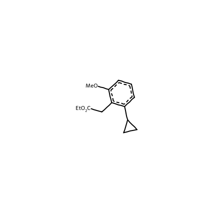 CCOC(=O)Cc1c(OC)cccc1C1CC1